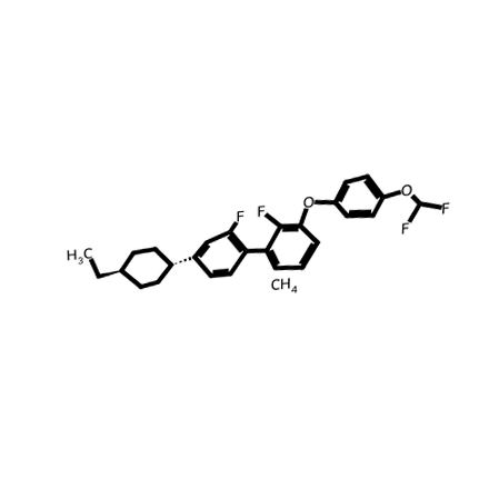 C.CC[C@H]1CC[C@H](c2ccc(-c3cccc(Oc4ccc(OC(F)F)cc4)c3F)c(F)c2)CC1